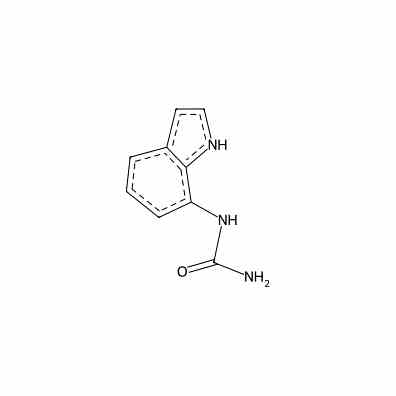 NC(=O)Nc1cccc2cc[nH]c12